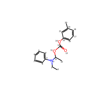 CCN(c1ccccc1)C(C)OC(=O)Oc1cccc(C)c1